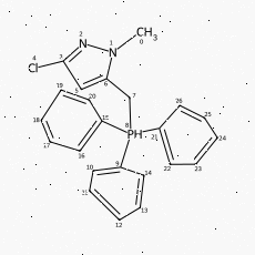 Cn1nc(Cl)cc1C[PH](c1ccccc1)(c1ccccc1)c1ccccc1